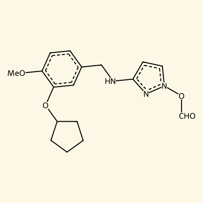 COc1ccc(CNc2ccn(OC=O)n2)cc1OC1CCCC1